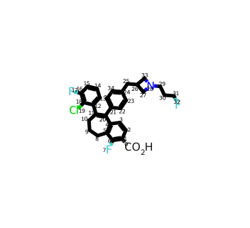 O=C(O)c1ccc2c(c1F)CCCC(c1cccc(F)c1Cl)=C2c1ccc(CC2CN(CCCF)C2)cc1